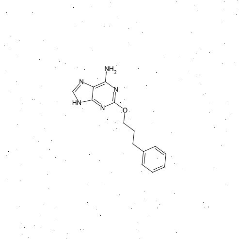 Nc1nc(OCCCc2ccccc2)nc2[nH]cnc12